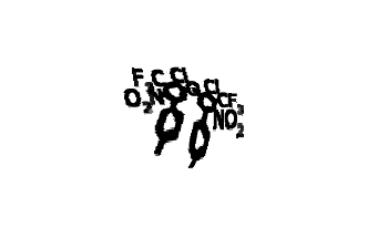 Cc1ccc(-c2cc(Oc3cc(-c4ccc(C)cc4)c([N+](=O)[O-])c(C(F)(F)F)c3Cl)c(Cl)c(C(F)(F)F)c2[N+](=O)[O-])cc1